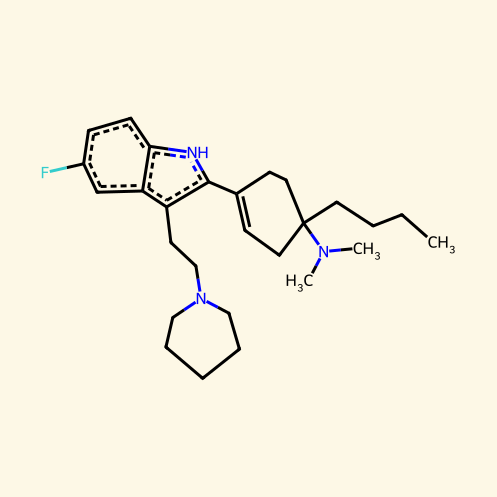 CCCCC1(N(C)C)CC=C(c2[nH]c3ccc(F)cc3c2CCN2CCCCC2)CC1